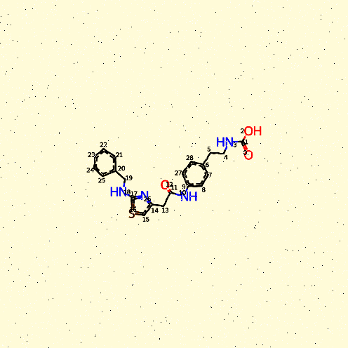 O=C(O)NCCc1ccc(NC(=O)Cc2csc(NCc3ccccc3)n2)cc1